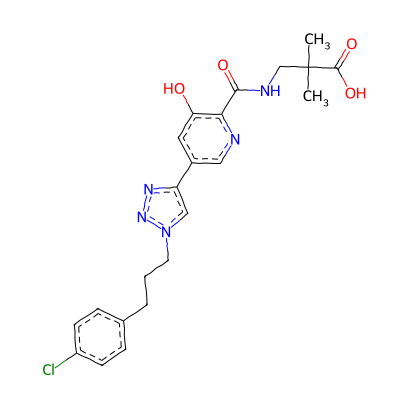 CC(C)(CNC(=O)c1ncc(-c2cn(CCCc3ccc(Cl)cc3)nn2)cc1O)C(=O)O